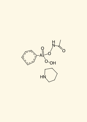 C1CCNCC1.CC(=O)NO[As](=O)(OO)c1ccccc1